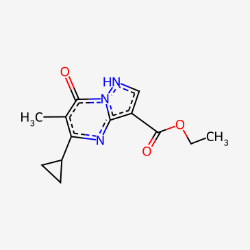 CCOC(=O)c1c[nH]n2c(=O)c(C)c(C3CC3)nc12